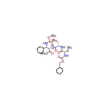 COC(=O)[C@@H](NC(=O)[C@H](CC(C)(C)C)NC(=O)[C@@H](CC(C)(C)C)NC(=O)OCc1ccccc1)[C@H](NC(=O)OC(C)(C)C)c1ccccc1